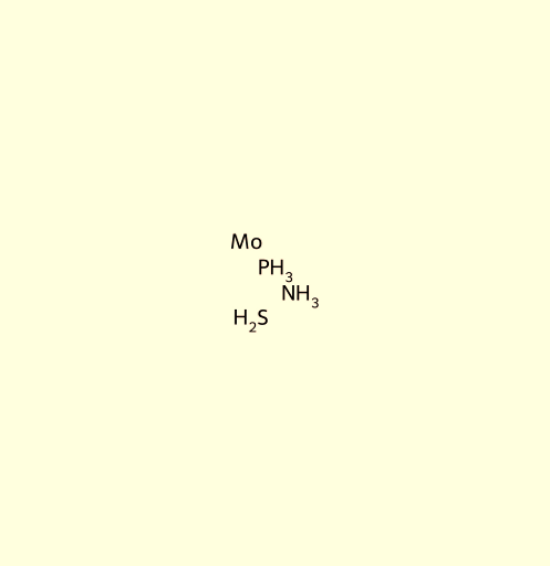 N.P.S.[Mo]